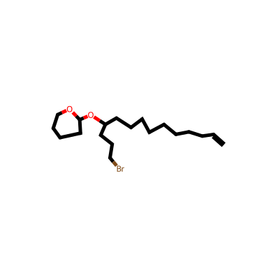 C=CCCCCCCCCC(CCCBr)OC1CCCCO1